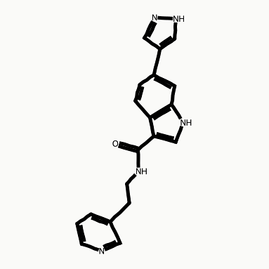 O=C(NCCc1cccnc1)c1c[nH]c2cc(-c3cn[nH]c3)ccc12